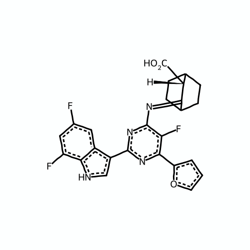 O=C(O)[C@H]1/C(=N/c2nc(-c3c[nH]c4c(F)cc(F)cc34)nc(-c3ccco3)c2F)C2CCC1CC2